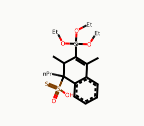 CCCC1(S(=O)(O)=S)c2ccccc2C(C)=C([Si](OCC)(OCC)OCC)C1C